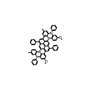 COc1ccc2c(c1)N(c1ccccc1)c1cc(C)cc3c1B2c1cc2c(-c4ccccc4)cc4c5c(cc6c(-c7ccccc7)cc-3c1c6c25)B1c2ccc(C)cc2N(c2ccccc2)c2cc(OC)cc-4c21